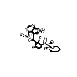 CC(C)Nc1ncnc2[nH]cc(C(=O)c3c(F)ccc(NS(=O)(=O)N4CCCC4)c3F)c12